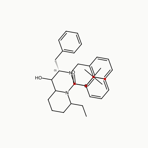 CCC1CCCC(C(O)[C@H](Cc2ccccc2)N(Cc2ccccc2)Cc2ccccc2)N1C(=O)OC(C)(C)C